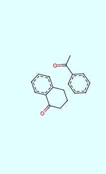 CC(=O)c1ccccc1.O=C1CCCc2ccccc21